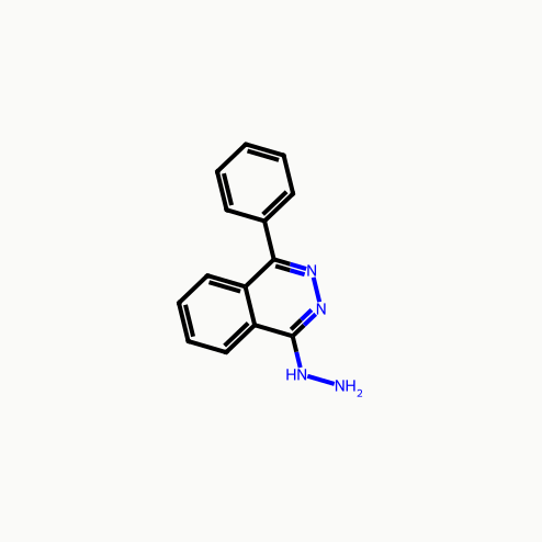 NNc1nnc(-c2ccccc2)c2ccccc12